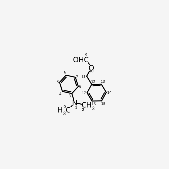 CN(C)c1ccccc1.O=COCc1ccccc1